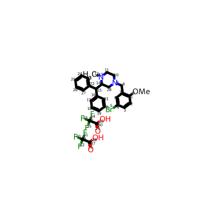 COc1ccc(Br)cc1CN1CCN(C)C(C(c2ccccc2)c2ccccc2)C1.O=C(O)C(F)(F)F.O=C(O)C(F)(F)F